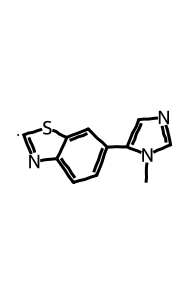 Cn1cncc1-c1ccc2n[c]sc2c1